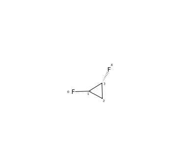 F[C]1C[C@H]1F